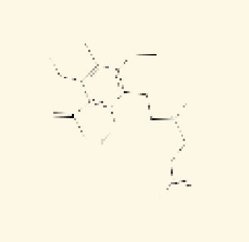 C=C(C)c1c(CC)c(C)c(OC)c(C/C=C(\C)CCC(=O)O)c1OI